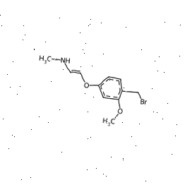 CNC=COc1ccc(CBr)c(OC)c1